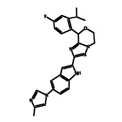 Cc1cn(-c2ccc3[nH]c(-c4nc5n(n4)CCOC5c4ccc(F)cc4C(C)C)cc3c2)cn1